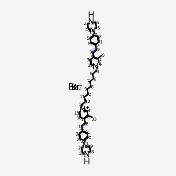 Cc1c[n+](CCCCCCCCCC[n+]2ccc(/C=C/c3ccc(N4CCNCC4)cc3)c(C)c2)ccc1/C=C/c1ccc(N2CCNCC2)cc1.[Br-].[Br-]